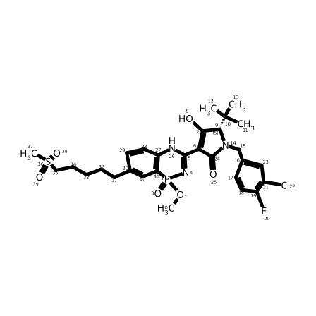 COP1(=O)N=C(C2=C(O)[C@H](C(C)(C)C)N(Cc3ccc(F)c(Cl)c3)C2=O)Nc2ccc(CCCCCS(C)(=O)=O)cc21